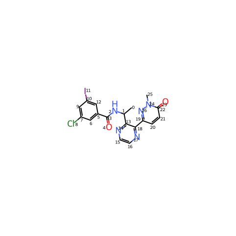 CC(NC(=O)c1cc(Cl)cc(I)c1)c1nccnc1-c1ccc(=O)n(C)n1